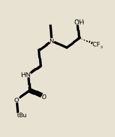 CN(CCNC(=O)OC(C)(C)C)C[C@H](O)C(F)(F)F